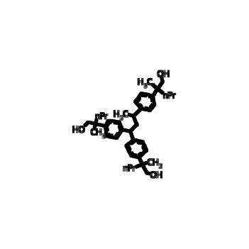 CCCC(C)(CO)c1ccc(C(C)CC(c2ccc(C(C)(CO)CCC)cc2)c2ccc(C(C)(CO)CCC)cc2)cc1